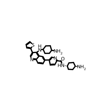 NC1CCC(Nc2c(-c3cccs3)cnc3ccc(-c4ccc(C(=O)N[C@H]5CC[C@H](N)CC5)nc4)cc23)CC1